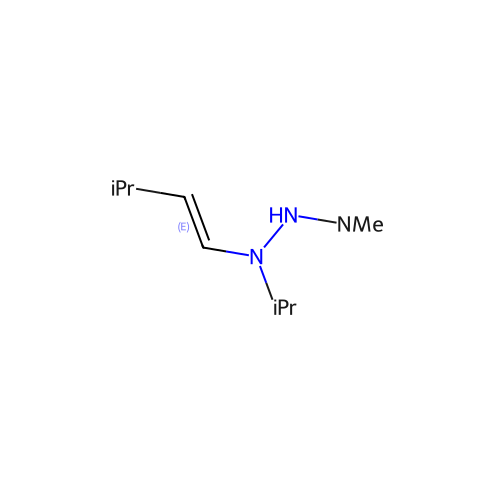 CNNN(/C=C/C(C)C)C(C)C